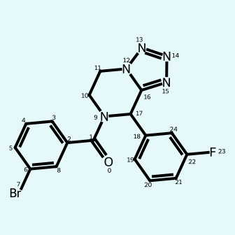 O=C(c1cccc(Br)c1)N1CCn2nnnc2C1c1cccc(F)c1